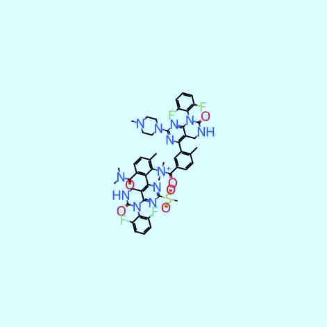 Cc1ccc(C(=O)[N+](C)(C)c2c(C)ccc(C(=O)N(C)C)c2-c2nc(S(C)(=O)=O)nc3c2CNC(=O)N3c2c(F)cccc2F)cc1-c1nc(N2CCN(C)CC2)nc2c1CNC(=O)N2c1c(F)cccc1F